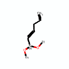 C=CCC=C[SiH](OCC)OCC